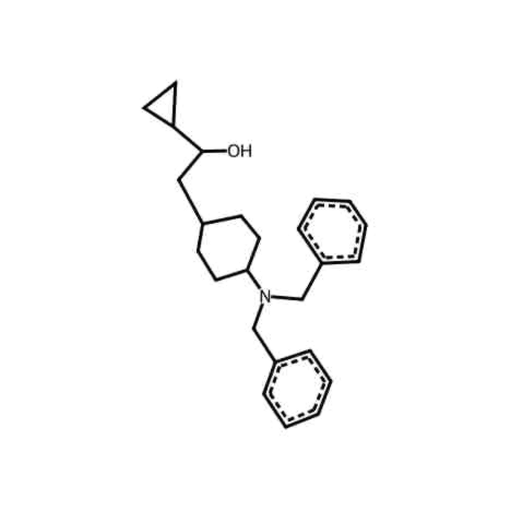 OC(CC1CCC(N(Cc2ccccc2)Cc2ccccc2)CC1)C1CC1